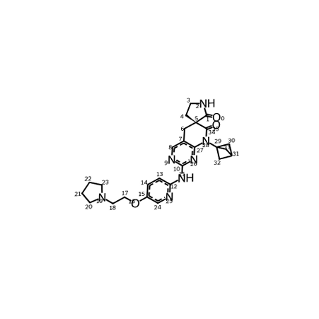 O=C1NCC[C@@]12Cc1cnc(Nc3ccc(OCCN4CCCC4)cn3)nc1N(C13CC(C1)C3)C2=O